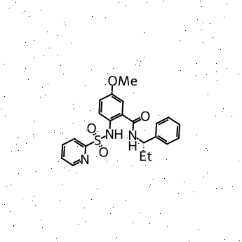 CC[C@H](NC(=O)c1cc(OC)ccc1NS(=O)(=O)c1ccccn1)c1ccccc1